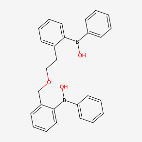 OB(c1ccccc1)c1ccccc1CCOCc1ccccc1B(O)c1ccccc1